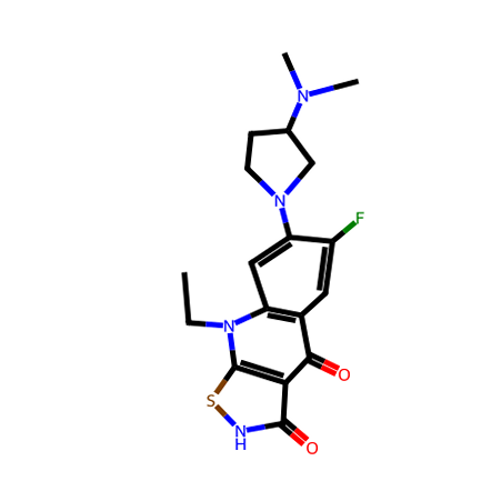 CCn1c2cc(N3CCC(N(C)C)C3)c(F)cc2c(=O)c2c(=O)[nH]sc21